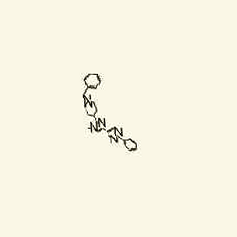 Cn1cc(-c2cnc(-c3ccccc3)nc2)nc1C1CCN(Cc2ccccc2)CC1